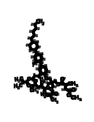 C=C(C)C(=O)OCCCc1cc(-c2ccc(C3CCC(CCCCCC)CC3)cc2F)ccc1OCC(COC(=O)C(=C)C)(COC(=O)C(=C)CC(=O)OC)COC(=O)C(=C)CC(=O)OC